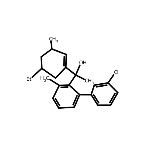 CCC1CC(C(C)(O)c2c(C)cccc2-c2cccc(Cl)c2)=CC(C)C1